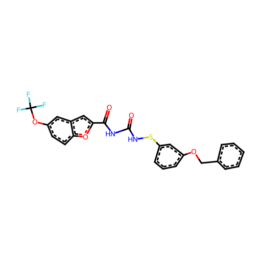 O=C(NSc1cccc(OCc2ccccc2)c1)NC(=O)c1cc2cc(OC(F)(F)F)ccc2o1